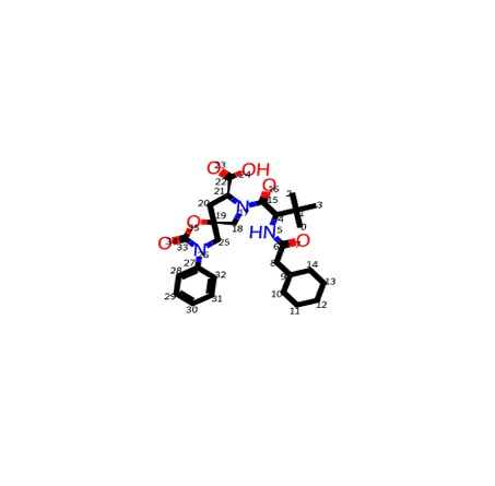 CC(C)(C)C(NC(=O)CC1CCCCC1)C(=O)N1C[C@@]2(C[C@H]1C(=O)O)CN(c1ccccc1)C(=O)O2